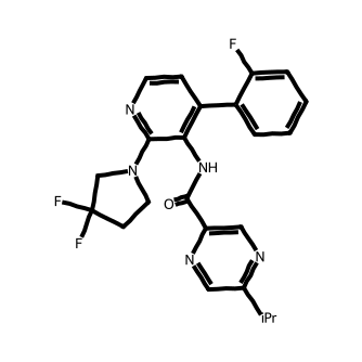 CC(C)c1cnc(C(=O)Nc2c(-c3ccccc3F)ccnc2N2CCC(F)(F)C2)cn1